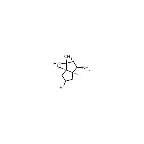 CCC1C[C@@H]2C(N)CC(C)(C)[C@@H]2C1